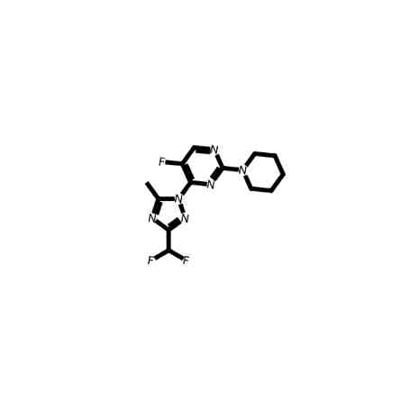 Cc1nc(C(F)F)nn1-c1nc(N2CCCCC2)ncc1F